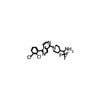 NC(C1CCN(c2nccn3c(-c4cccc(Cl)c4Cl)ncc23)CC1)C(F)(F)F